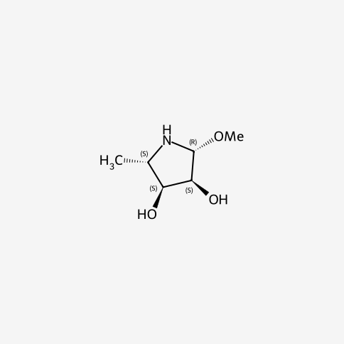 CO[C@H]1N[C@@H](C)[C@H](O)[C@@H]1O